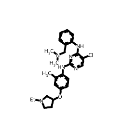 CCN1CCC(Oc2ccc(Nc3ncc(Cl)c(Nc4ccccc4CN(C)C)n3)c(C)c2)C1